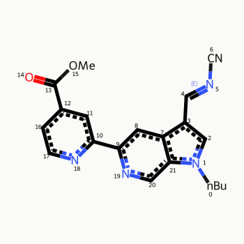 CCCCn1cc(/C=N/C#N)c2cc(-c3cc(C(=O)OC)ccn3)ncc21